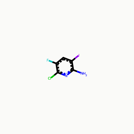 Nc1nc(Cl)c(F)cc1I